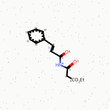 CCOC(=O)CC(=O)NC(=O)/C=C/c1ccccc1